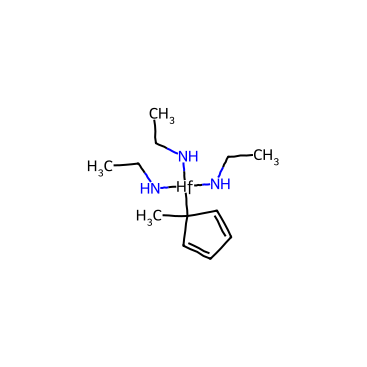 CC[NH][Hf]([NH]CC)([NH]CC)[C]1(C)C=CC=C1